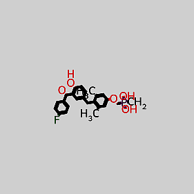 C=P(O)(O)COc1cc(C)c(Cc2ccc(O)c(C(=O)c3ccc(F)cc3)c2)c(C)c1